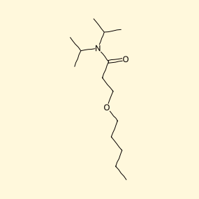 CCCCCOCCC(=O)N(C(C)C)C(C)C